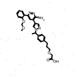 COCOc1ccccc1-c1cc(-c2cnn(C(C)c3ccc(CCCOCC(=O)O)cc3)c2)c(N)nn1